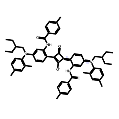 CCC(CC)CN(c1ccc(C2=C([O-])/C(=C3C=C/C(=[N+](\CC(CC)CC)c4ccc(C)cc4C)C=C/3NC(=O)c3ccc(C)cc3)C2=O)c(NC(=O)c2ccc(C)cc2)c1)c1ccc(C)cc1C